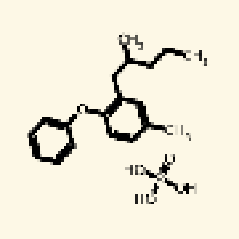 CCCC(C)Cc1cc(C)ccc1Oc1ccccc1.O=P(O)(O)O